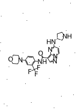 O=C(Nc1ccc(N2CCOCC2)cc1C(F)(F)F)c1cnn2ccc(N[C@@H]3CCNC3)nc12